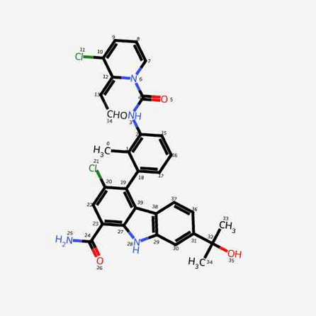 Cc1c(NC(=O)N2C=CC=C(Cl)/C2=C/C=O)cccc1-c1c(Cl)cc(C(N)=O)c2[nH]c3cc(C(C)(C)O)ccc3c12